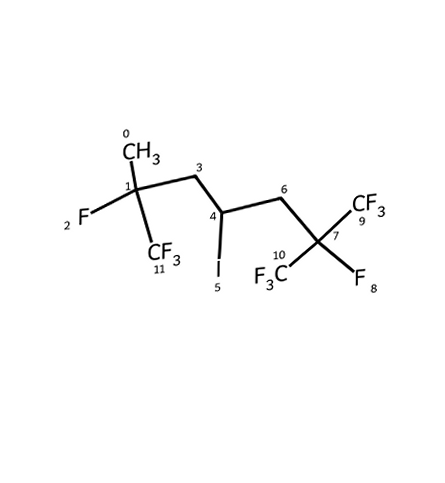 CC(F)(CC(I)CC(F)(C(F)(F)F)C(F)(F)F)C(F)(F)F